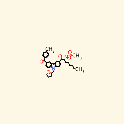 CCCCCC/C(=N\OC(C)=O)C(=O)c1ccc2c(c1)c1cc(C(=O)c3ccc(C)cc3)ccc1n2CC1CCCO1